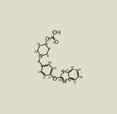 O=C(O)OC1CCN(Cc2ccc(Oc3nc4ccccc4s3)cc2)CC1